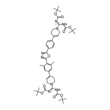 Cc1cc(C2=CCN(/C(=N\C(=O)OC(C)(C)C)NC(=O)OC(C)(C)C)CC2)cc(C)c1-c1nnc(-c2ccc(C3=CCN(/C(=N/C(=O)OC(C)(C)C)NC(=O)OC(C)(C)C)CC3)cc2)o1